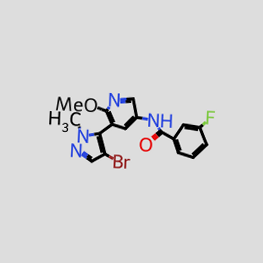 COc1ncc(NC(=O)c2cccc(F)c2)cc1-c1c(Br)cnn1C